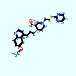 COc1ccc2nccc(CCC[C@@H]3CCN(CCSc4ncccn4)C[C@@H]3CO)c2c1